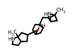 CC12CC(C1)C(CC13CCC(CC1)C(C1CC4CCNC4(C)C1)CN3)N2